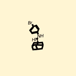 Brc1ccc(NNC23CC4CC(CC(C4)C2)C3)cc1